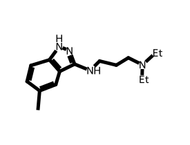 CCN(CC)CCCNc1n[nH]c2ccc(C)cc12